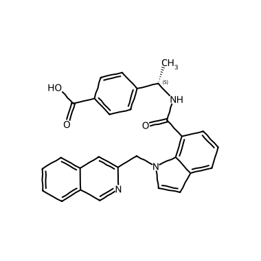 C[C@H](NC(=O)c1cccc2ccn(Cc3cc4ccccc4cn3)c12)c1ccc(C(=O)O)cc1